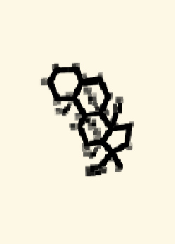 CC1(O)CC[C@H]2[C@@H]3CC=C4CCCC[C@]4(C)[C@@H]3CC[C@@]21C